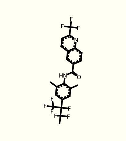 Cc1cc(C(F)(C(C)(F)F)C(F)(F)F)cc(C)c1NC(=O)c1ccc2nc(C(F)(F)F)ccc2c1